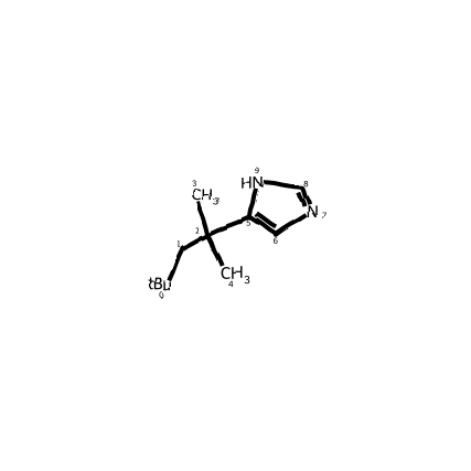 CC(C)(C)CC(C)(C)c1cnc[nH]1